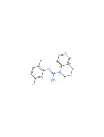 Cc1ccc(C)c(N=C(N)N2CCCc3ccccc32)c1